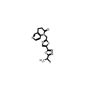 CC(F)c1nnc(-c2cnc(CN3C(=O)CCc4cnccc43)s2)o1